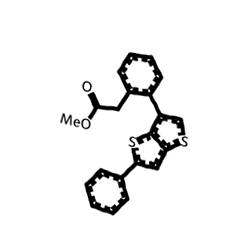 COC(=O)Cc1ccccc1-c1csc2cc(-c3ccccc3)sc12